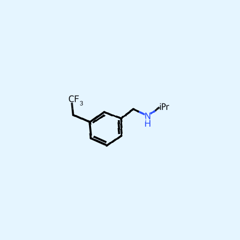 CC(C)NCc1cccc(CC(F)(F)F)c1